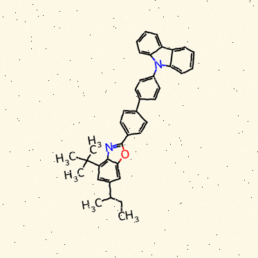 CCC(C)c1cc(C(C)(C)C)c2nc(-c3ccc(-c4ccc(-n5c6ccccc6c6ccccc65)cc4)cc3)oc2c1